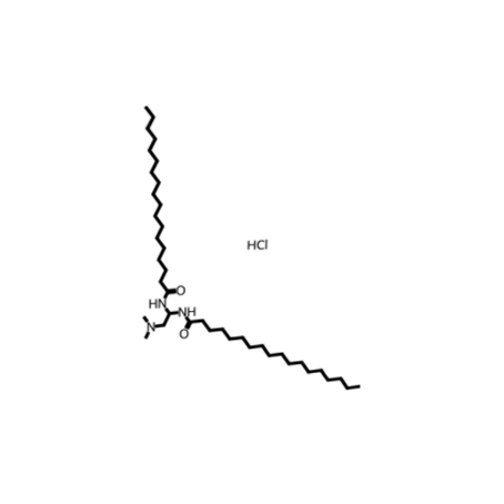 CCCCCCCCCCCCCCCCCC(=O)NC(CN(C)C)NC(=O)CCCCCCCCCCCCCCCCC.Cl